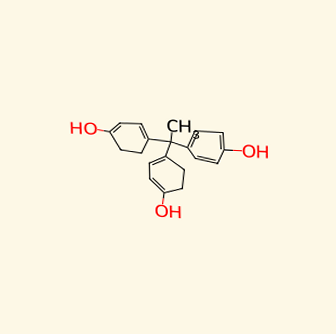 CC(C1=CC=C(O)CC1)(C1=CC=C(O)CC1)c1ccc(O)cc1